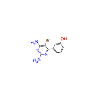 Nc1nc(N)c(Br)c(-c2cccc(O)c2)n1